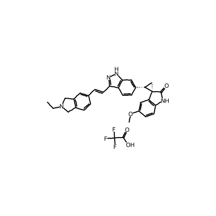 CCN1Cc2ccc(/C=C/c3n[nH]c4cc([C@@H]5C[C@@]56C(=O)Nc5ccc(OC)cc56)ccc34)cc2C1.O=C(O)C(F)(F)F